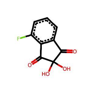 O=C1c2cccc(F)c2C(=O)C1(O)O